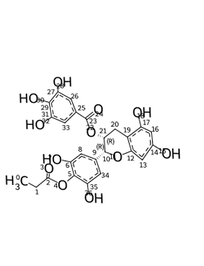 CCC(=O)Oc1c(O)cc([C@H]2Oc3cc(O)cc(O)c3C[C@H]2OC(=O)c2cc(O)c(O)c(O)c2)cc1O